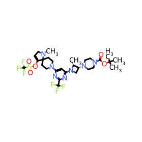 C[C@@H]1[C@H](N2CCN(C(=O)OC(C)(C)C)CC2)CN1c1cc(N2CCC3(CC2)C(OS(=O)(=O)C(F)(F)F)=CCN3C)nc(C(F)(F)F)n1